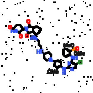 COc1cc(N2CCC(NCCCNc3cccc4c3C(=O)N(C3CCC(=O)NC3=O)C4=O)CC2)ccc1Nc1ncc(Cl)c(Nc2ccccc2P(=O)(OC)OC)n1